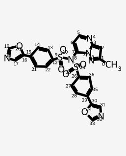 Cc1cc2nccc(N(S(=O)(=O)c3ccc(-c4cnco4)cc3)S(=O)(=O)c3ccc(-c4cnco4)cc3)n2n1